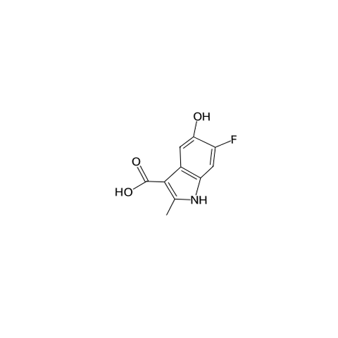 Cc1[nH]c2cc(F)c(O)cc2c1C(=O)O